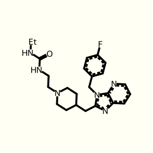 CCNC(=O)NCCN1CCC(Cc2nc3cccnc3n2Cc2ccc(F)cc2)CC1